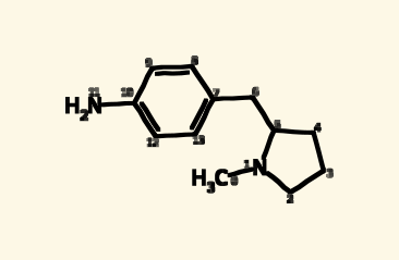 CN1CCCC1Cc1ccc(N)cc1